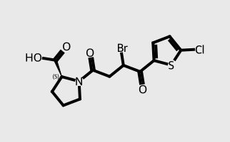 O=C(c1ccc(Cl)s1)C(Br)CC(=O)N1CCC[C@H]1C(=O)O